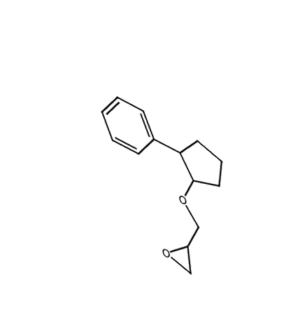 c1ccc(C2CCCC2OCC2CO2)cc1